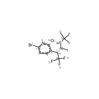 CN([C@@H](c1ccc(Br)nc1)C(F)(F)F)[S@+]([O-])C(C)(C)C